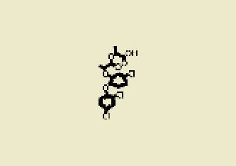 CC(OC(=O)C(C)Oc1cc(Cl)ccc1Oc1ccc(Cl)cc1Cl)C(=O)O